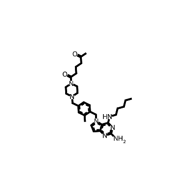 CCCCCNc1nc(N)nc2ccn(Cc3ccc(CN4CCN(C(=O)CCCC(C)=O)CC4)cc3C)c12